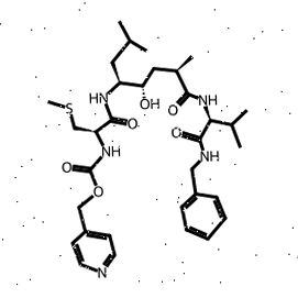 CSC[C@H](NC(=O)OCc1ccncc1)C(=O)N[C@@H](CC(C)C)[C@@H](O)C[C@@H](C)C(=O)N[C@H](C(=O)NCc1ccccc1)C(C)C